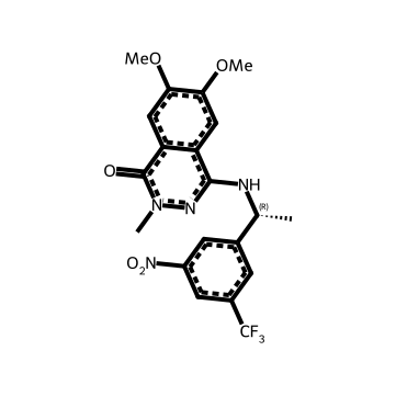 COc1cc2c(N[C@H](C)c3cc([N+](=O)[O-])cc(C(F)(F)F)c3)nn(C)c(=O)c2cc1OC